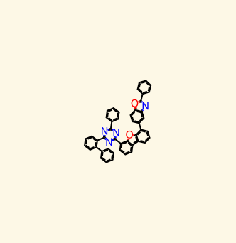 c1ccc(-c2nc(-c3ccccc3-c3ccccc3)nc(-c3cccc4c3oc3c(-c5ccc6oc(-c7ccccc7)nc6c5)cccc34)n2)cc1